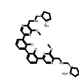 COc1nc(-c2cccc(-c3cccc(-c4cnc(CNC[C@H]5CCC[C@@H]5O)c(OC)n4)c3Cl)c2Cl)cnc1CNC[C@H]1CCC[C@@H]1O